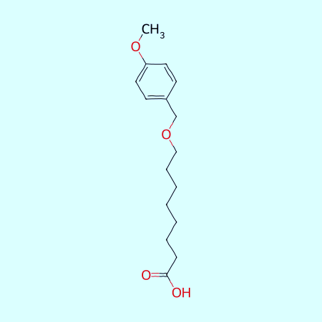 COc1ccc(COCCCCCCCC(=O)O)cc1